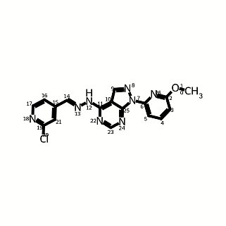 COc1cccc(-n2ncc3c(N/N=C/c4ccnc(Cl)c4)ncnc32)n1